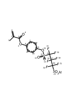 C=C(C)C(=O)Oc1ccc(OS(=O)(=O)C(F)(F)C(F)(F)C(F)(F)S(=O)(=O)O)cc1